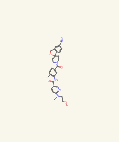 COCCN(C)c1ccc(C(=O)Nc2cc(C(=O)N3CCC4(CC3)OCc3cc(C#N)ccc34)ccc2C)cn1